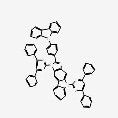 c1ccc(-c2cc(-c3ccccc3)nc(-n3c(-c4ccc(-n5c6ccccc6c6ccccc65)cc4)nc4cc5c(cc43)c3ccccc3n5-c3nc(-c4ccccc4)cc(-c4ccccc4)n3)n2)cc1